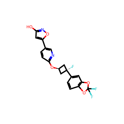 Oc1cc(-c2ccc(O[C@H]3C[C@@](F)(c4ccc5c(c4)OC(F)(F)O5)C3)nc2)on1